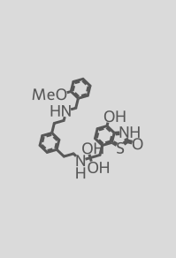 COc1ccccc1CNCCc1cccc(CCNC(O)(O)Cc2ccc(O)c3[nH]c(=O)sc23)c1